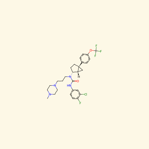 CN1CCN(CCCN(C(=O)Nc2ccc(F)c(Cl)c2)[C@@H]2CC[C@]3(c4ccc(OC(F)(F)F)cc4)C[C@H]23)CC1